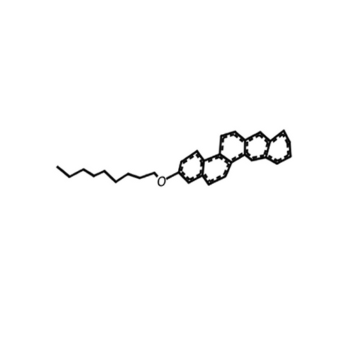 CCCCCCCCCOc1ccc2c(ccc3c4cc5ccccc5cc4ccc23)c1